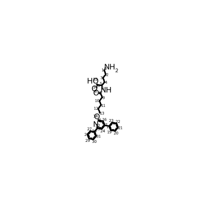 NCCCCC(NC(=O)CCCCCOc1cc(-c2ccccc2)cc(-c2ccccc2)n1)C(=O)O